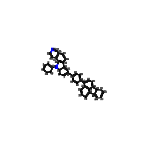 c1ccc(-n2c3ccc(-c4ccc(-c5ccc6c7c(cccc57)-c5ccccc5-6)cc4)cc3c3ccc4cnccc4c32)cc1